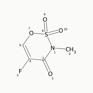 CN1C(=O)C(F)=COS1(=O)=O